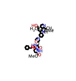 CCn1c(-c2cccnc2[C@H](C)OC)c(CC(C)(C)CO)c2cc(N3CCO[C@@H](C[C@H](NC(=O)OCc4ccccc4)C(=O)N4CCC[C@@H](C(=O)OC)N4)C3)ccc21